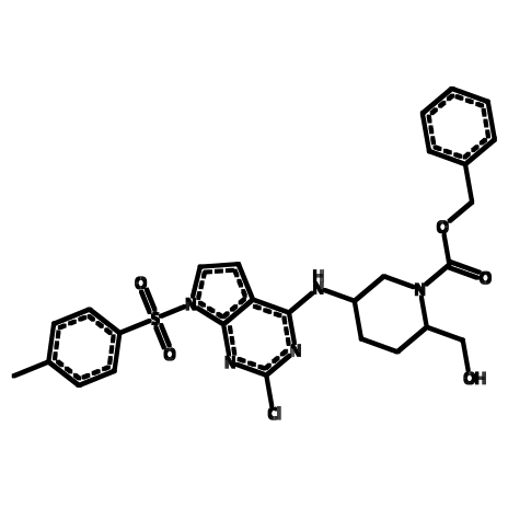 Cc1ccc(S(=O)(=O)n2ccc3c(NC4CCC(CO)N(C(=O)OCc5ccccc5)C4)nc(Cl)nc32)cc1